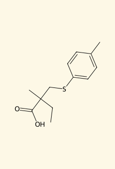 CCC(C)(CSc1ccc(C)cc1)C(=O)O